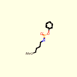 COCCCC/N=[P+](\[O-])Oc1ccccc1